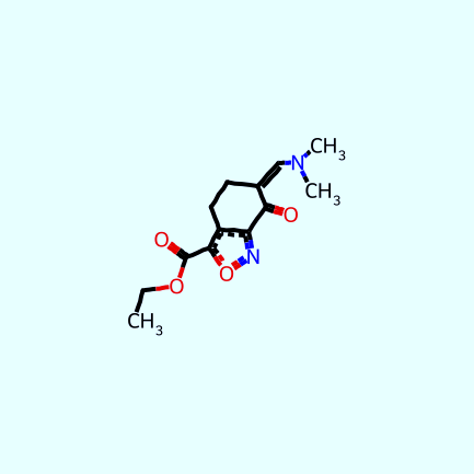 CCOC(=O)c1onc2c1CC/C(=C/N(C)C)C2=O